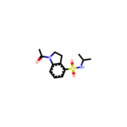 CC(=O)N1CCc2c1cccc2S(=O)(=O)NC(C)C